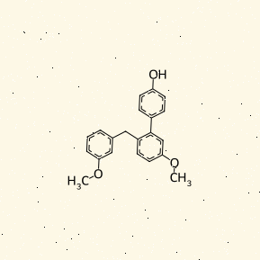 COc1cccc(Cc2ccc(OC)cc2-c2ccc(O)cc2)c1